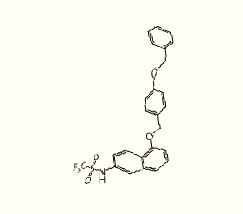 O=S(=O)(Nc1ccc2c(OCc3ccc(OCc4ccccc4)cc3)cccc2c1)C(F)(F)F